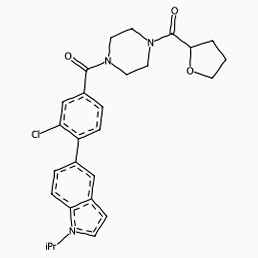 CC(C)n1ccc2cc(-c3ccc(C(=O)N4CCN(C(=O)C5CCCO5)CC4)cc3Cl)ccc21